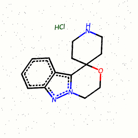 Cl.c1ccc2c3n(nc2c1)CCOC31CCNCC1